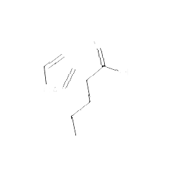 C=C.C=COC(C)=O.CCCCC(=O)O